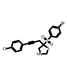 O=S(=O)(c1ccc(Br)cc1)C1(CC#Cc2ccc(Cl)cc2)CNCS1